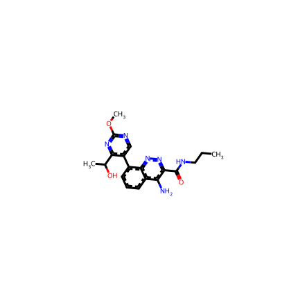 CCCNC(=O)c1nnc2c(-c3cnc(OC)nc3C(C)O)cccc2c1N